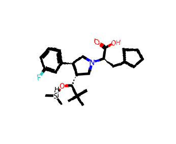 C[SiH](C)OC([C@H]1CN([C@H](CC2CCCC2)C(=O)O)C[C@@H]1c1cccc(F)c1)C(C)(C)C